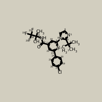 CC(C)(C)c1nccn1-c1cc(C(=O)NC(C)(C)C(F)(F)F)cc(-c2ccc(Cl)cc2)n1